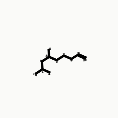 [CH2]C(C)CC(C)CCCC=C